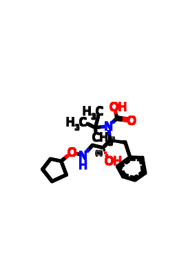 CC(C)(C)N(C(=O)O)[C@@H](Cc1ccccc1)[C@H](O)CNOC1CCCC1